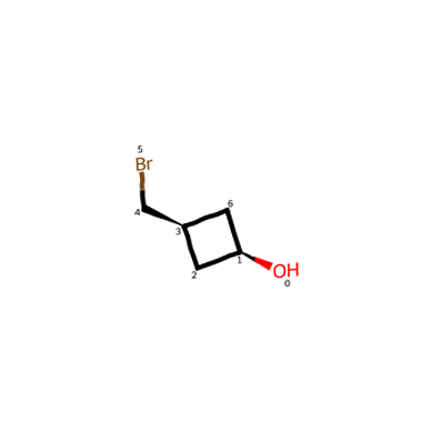 O[C@H]1C[C@@H](CBr)C1